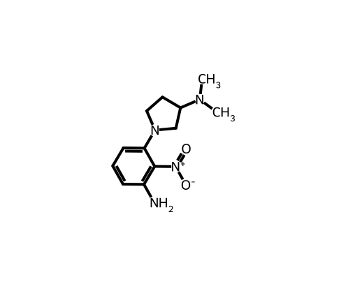 CN(C)C1CCN(c2cccc(N)c2[N+](=O)[O-])C1